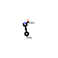 COC(=O)c1cc(C#Cc2ccc(OC)cc2)ccn1